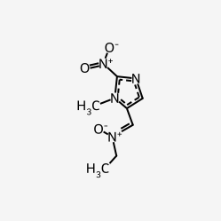 CC[N+]([O-])=Cc1cnc([N+](=O)[O-])n1C